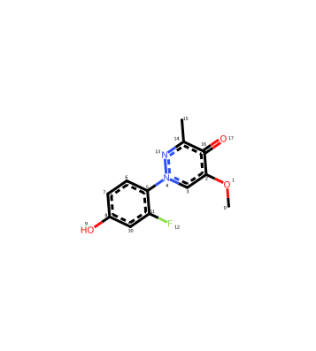 COc1cn(-c2ccc(O)cc2F)nc(C)c1=O